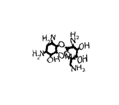 COC1C(O)C(N)CC(N)C1OC1OC(CN)C(O)C(O)C1N